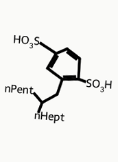 CCCCCCCC(CCCCC)Cc1cc(S(=O)(=O)O)ccc1S(=O)(=O)O